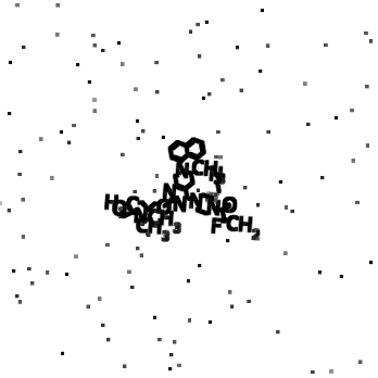 C=C(F)C(=O)N1CCN(c2nc(OCC(C)(CC)N(C)C3COC3)nc3c2CCN(c2cccc4cccc(C)c24)C3)C[C@@H]1CC#N